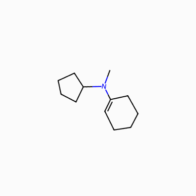 CN(C1=CCCCC1)C1CCCC1